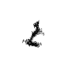 CC1(C)C(=O)N(c2ccc(C#N)c(C(F)(F)F)c2)CN1c1ccc(N2CCN(CCCCNc3ccc4ncc(-n5ccc(=O)[nH]c5=O)cc4c3)CC2)cc1